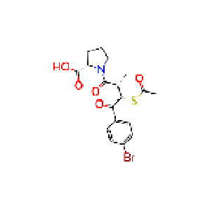 CC(=O)S[C@H](C(=O)c1ccc(Br)cc1)[C@@H](C)C(=O)N1CCC[C@H]1C(=O)O